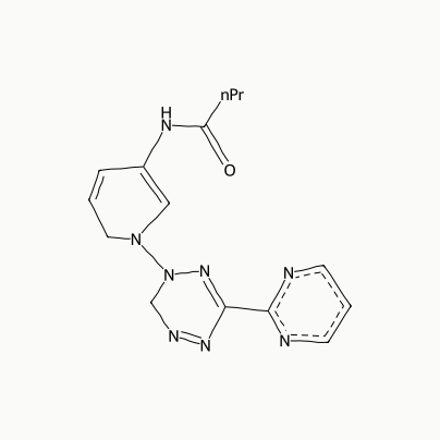 CCCC(=O)NC1=CN(N2CN=NC(c3ncccn3)=N2)CC=C1